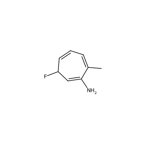 CC1=CC=CC(F)C=C1N